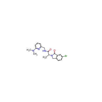 CC(C(=O)NCc1cccc(N(C)C)n1)N1Cc2ccc(Br)cc2C1=O